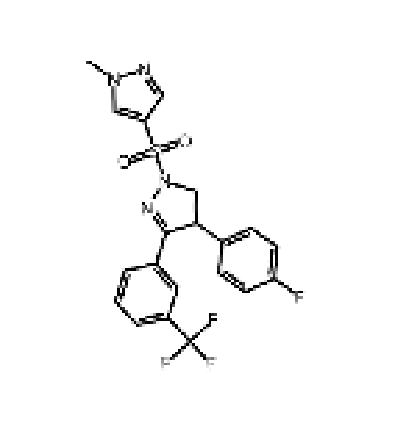 Cn1cc(S(=O)(=O)N2CC(c3ccc(F)cc3)C(c3cccc(C(F)(F)F)c3)=N2)cn1